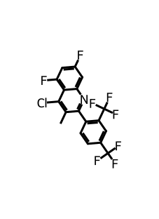 Cc1c(-c2ccc(C(F)(F)F)cc2C(F)(F)F)nc2cc(F)cc(F)c2c1Cl